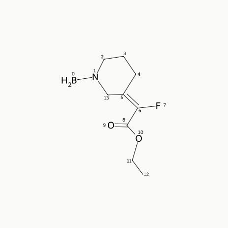 BN1CCCC(=C(F)C(=O)OCC)C1